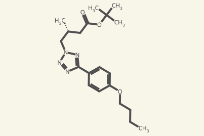 CCCCOc1ccc(-c2nnn(C[C@H](C)CC(=O)OC(C)(C)C)n2)cc1